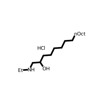 CCCCCCCCCCCCCCC(O)CNCC.Cl